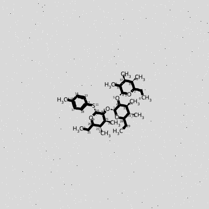 CCC1O[C@H](OC2[C@@H](OC3[C@@H](Sc4ccc(C)cc4)OC(CC)[C@@H](C)[C@@H]3C)OC(CC)[C@@H](C)[C@@H]2C)C(C)[C@@H](C)[C@@H]1C